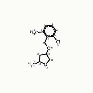 Cc1cccc(Cl)c1COC1COC(C)C1